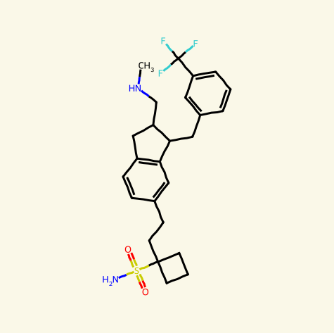 CNCC1Cc2ccc(CCC3(S(N)(=O)=O)CCC3)cc2C1Cc1cccc(C(F)(F)F)c1